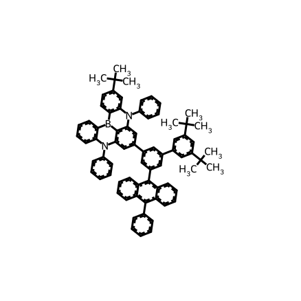 CC(C)(C)c1cc(-c2cc(-c3cc4c5c(c3)N(c3ccccc3)c3cc(C(C)(C)C)ccc3B5c3ccccc3N4c3ccccc3)cc(-c3c4ccccc4c(-c4ccccc4)c4ccccc34)c2)cc(C(C)(C)C)c1